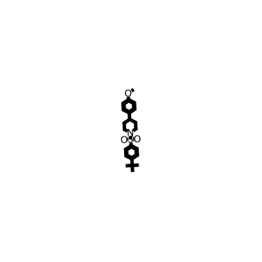 COc1ccc(C2CCN(S(=O)(=O)c3ccc(C(C)(C)C)cc3)CC2)cc1